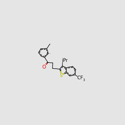 Cc1[c]c(C(=O)CCc2sc3cc(C(F)(F)F)ccc3c2C(C)C)ccc1